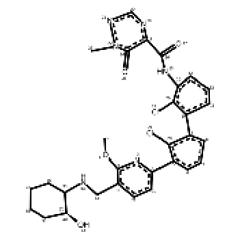 COc1nc(-c2cccc(-c3cccc(NC(=O)c4ncnn(C)c4=O)c3Cl)c2Cl)ccc1CNC1CCCC[C@@H]1O